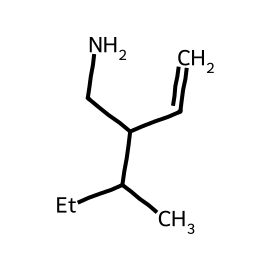 C=CC(CN)C(C)CC